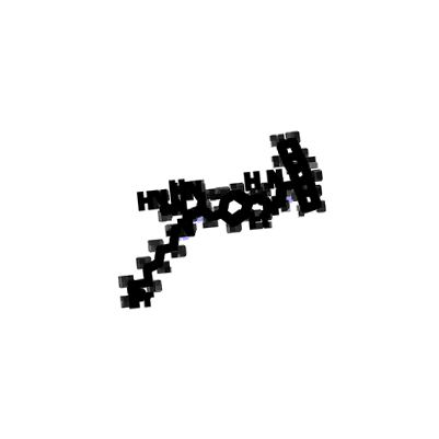 CCN(/C=C(\N)C12C3CCC3C1C1C3CCC3C12)CC1=CCC(C/C(C=N)=C(\N=C\CCCCCCC(C)C)NC=N)C=C1